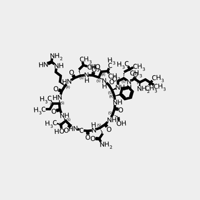 CC[C@H](C)[C@@H]1NC(=O)[C@@H](CCCNC(=N)N)NC(=O)[C@H](CC(C)C)NC(=O)[C@H]([C@H](O)C(C)C)NC(=O)[C@@H](NC(=O)[C@H](CC(C)(C)C)NC(=O)[C@H](N)CC(C)(C)C)[C@@H](c2ccccc2)NC(=O)[C@H](CO)NC(=O)[C@H](CC(N)=O)NC(=O)CNC(=O)[C@H]([C@H](C)O)NC1=O